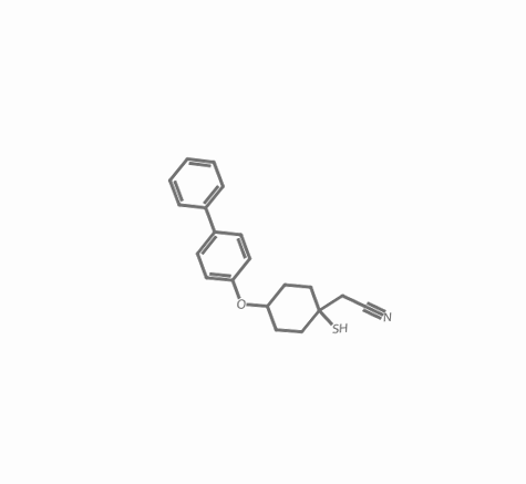 N#CCC1(S)CCC(Oc2ccc(-c3ccccc3)cc2)CC1